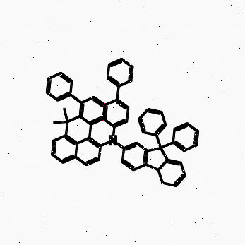 CC1(C)c2c(-c3ccccc3)cccc2-c2c(N(c3ccc(-c4ccccc4)cc3)c3ccc4c(c3)C(c3ccccc3)(c3ccccc3)C3=CC=CCC34)ccc3cccc1c23